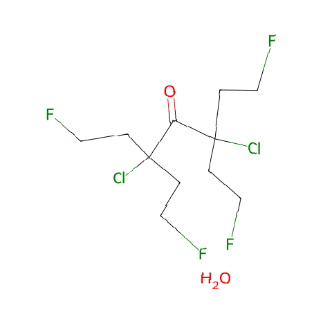 O.O=C(C(Cl)(CCF)CCF)C(Cl)(CCF)CCF